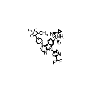 CC(C)C(=O)N1CCN(c2ncnc3c2c2ccc(S(=O)(=O)NC4(C#N)CC4)cc2n3-c2nnc(C(F)F)s2)CC1